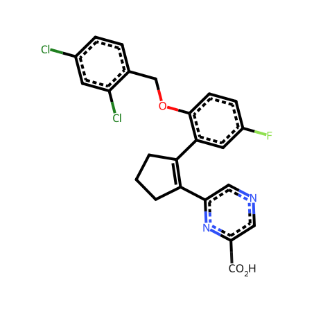 O=C(O)c1cncc(C2=C(c3cc(F)ccc3OCc3ccc(Cl)cc3Cl)CCC2)n1